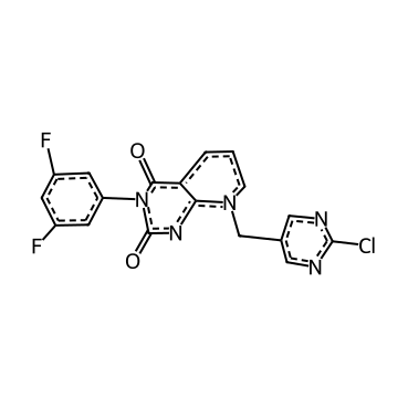 O=c1nc2n(Cc3cnc(Cl)nc3)cccc-2c(=O)n1-c1cc(F)cc(F)c1